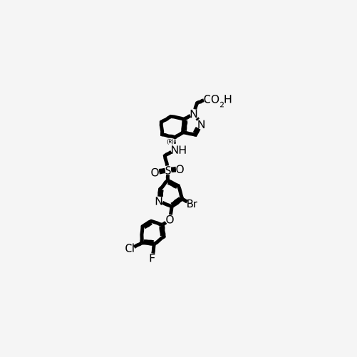 O=C(O)Cn1ncc2c1CCC[C@H]2NCS(=O)(=O)c1cnc(Oc2ccc(Cl)c(F)c2)c(Br)c1